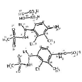 CCc1c(N(CC)NS(C)(=O)=O)ccc(N)c1C.CCc1c(N(CC)NS(C)(=O)=O)ccc(N)c1C.O=S(=O)(O)O.O=S(=O)(O)O.O=S(=O)(O)O